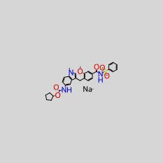 COc1cc(C(=O)NS(=O)(=O)c2ccccc2)ccc1Cc1cn(C)c2ccc(NC(=O)OC3CCCC3)cc12.[Na]